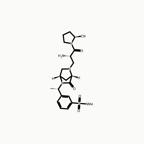 CNS(=O)(=O)c1cccc([C@H](C)N2C(=O)[C@@H]3C[C@H]2CN3C[C@H](N)C(=O)N2CCC[C@H]2C#N)c1